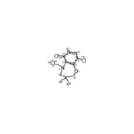 CN1CC(F)(F)COc2c(Cl)nnc(Cl)c21